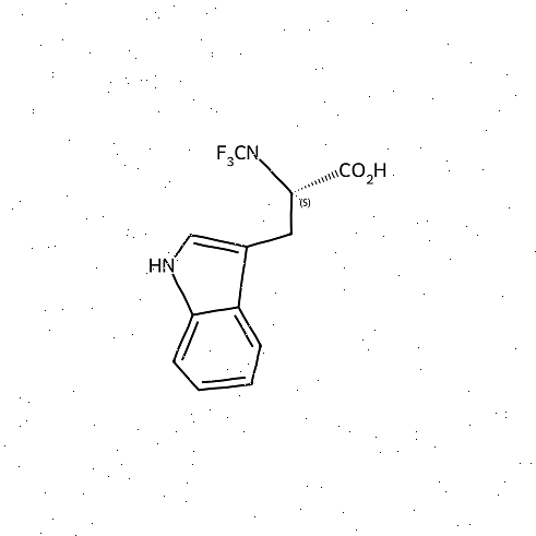 O=C(O)[C@H](Cc1c[nH]c2ccccc12)NC(F)(F)F